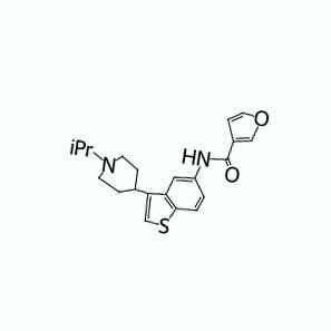 CC(C)N1CCC(c2csc3ccc(NC(=O)c4ccoc4)cc23)CC1